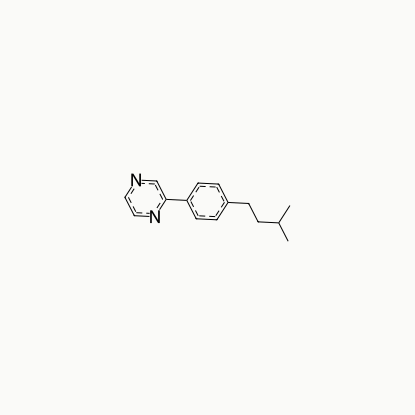 CC(C)CCc1ccc(-c2cnccn2)cc1